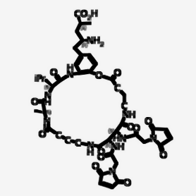 CC(C)[C@@H]1NC(=O)[C@H](C)NC(=O)CCCNC(=O)[C@H](NC(=O)CN2C(=O)C=CC2=O)[C@H](NC(=O)CN2C(=O)C=CC2=O)C(=O)NCCCC(=O)Oc2ccc(C[C@H](N)C[C@H](C)C(=O)O)cc2NC1=O